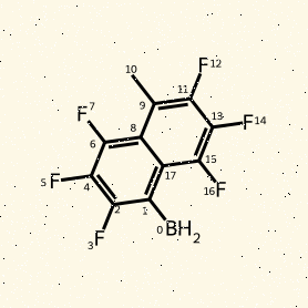 Bc1c(F)c(F)c(F)c2c(C)c(F)c(F)c(F)c12